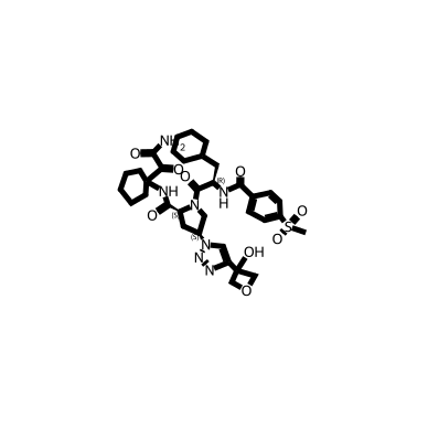 CS(=O)(=O)c1ccc(C(=O)N[C@H](CC2CCCCC2)C(=O)N2C[C@@H](n3cc(C4(O)COC4)nn3)C[C@H]2C(=O)NC2(C(=O)C(N)=O)CCCCC2)cc1